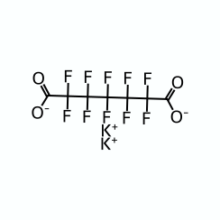 O=C([O-])C(F)(F)C(F)(F)C(F)(F)C(F)(F)C(F)(F)C(=O)[O-].[K+].[K+]